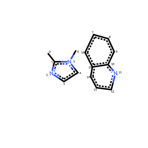 Cc1nccn1C.c1ccc2ncccc2c1